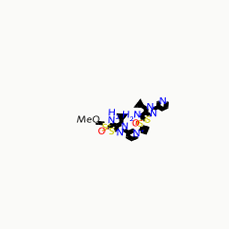 COCC[S+]([O-])c1sc2nc(-c3ccc[n+](C4CCC4[S+]([O-])c4sc5nc(-c6cccnc6)nc(C6CC6)c5c4N)c3)nc(C3CC3)c2c1N